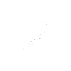 CN(CCO[Si](C)(C)C(C)(C)C)c1ccc(/C=C/c2cc(CO)cs2)cc1